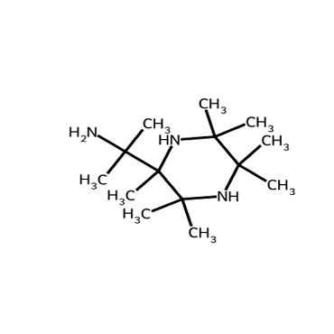 CC(C)(N)C1(C)NC(C)(C)C(C)(C)NC1(C)C